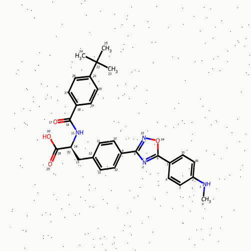 CNc1ccc(-c2nc(-c3ccc(C[C@H](NC(=O)c4ccc(C(C)(C)C)cc4)C(=O)O)cc3)no2)cc1